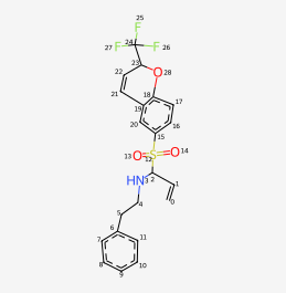 C=CC(NCCc1ccccc1)S(=O)(=O)c1ccc2c(c1)C=CC(C(F)(F)F)O2